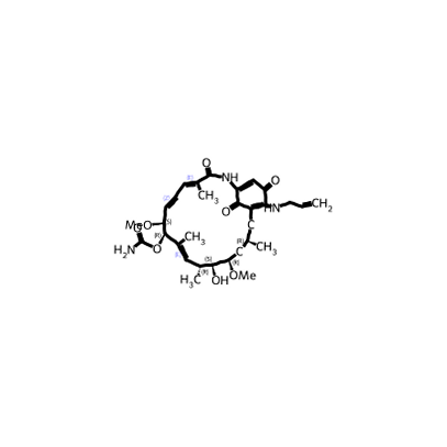 C=CCNC1=C2C[C@@H](C)C[C@@H](OC)[C@@H](O)[C@H](C)/C=C(\C)[C@@H](OC(N)=O)[C@@H](OC)/C=C\C=C(/C)C(=O)NC(=CC1=O)C2=O